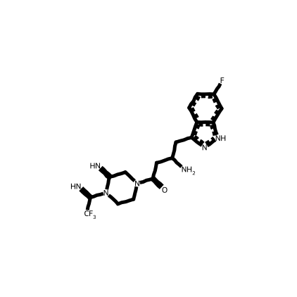 N=C1CN(C(=O)CC(N)Cc2n[nH]c3cc(F)ccc23)CCN1C(=N)C(F)(F)F